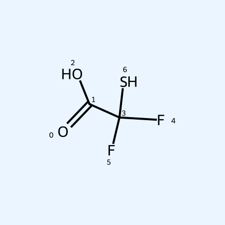 O=C(O)C(F)(F)S